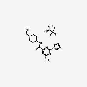 Cc1cc(C(=O)NC2CCC(CN)CC2)nc(-n2ccnc2)n1.O=C(O)C(F)(F)F